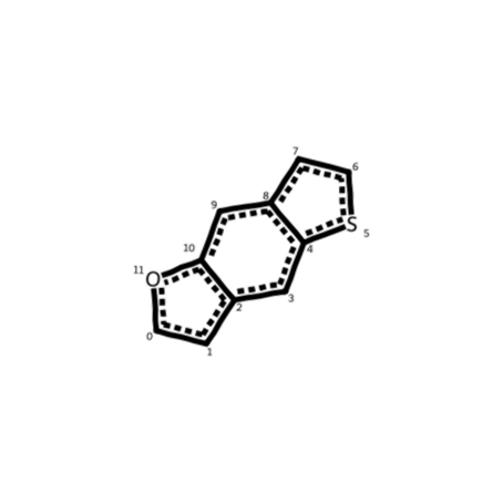 c1cc2cc3sccc3cc2o1